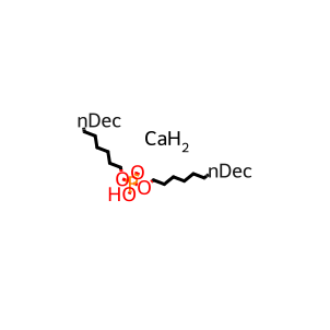 CCCCCCCCCCCCCCCCOP(=O)(O)OCCCCCCCCCCCCCCCC.[CaH2]